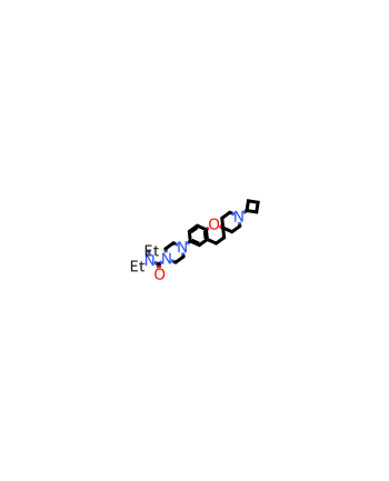 CCN(CC)C(=O)N1CCN(c2ccc3c(c2)CCC2(CCN(C4CCC4)CC2)O3)CC1